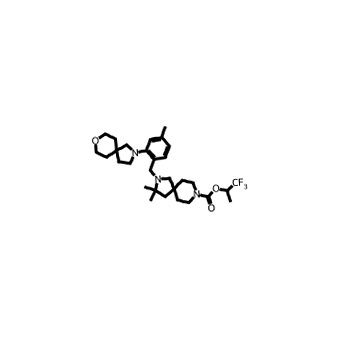 Cc1ccc(CN2CC3(CCN(C(=O)OC(C)C(F)(F)F)CC3)CC2(C)C)c(N2CCC3(CCOCC3)C2)c1